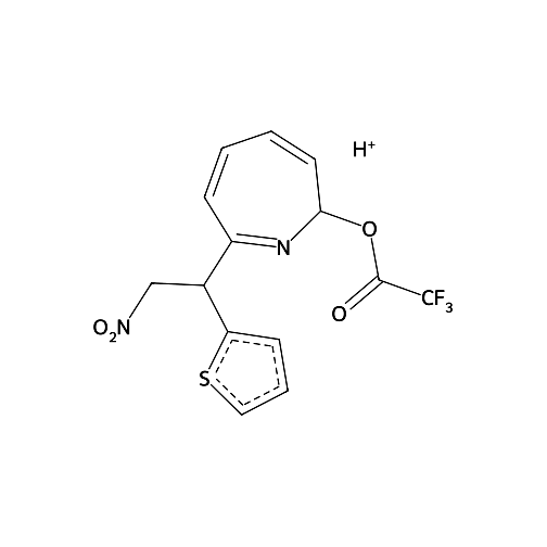 O=C(OC1C=CC=CC(C(C[N+](=O)[O-])c2cccs2)=N1)C(F)(F)F.[H+]